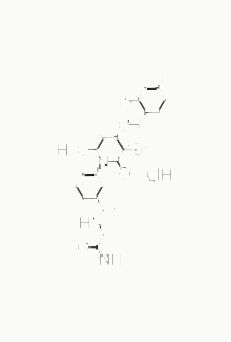 Cc1cc(OCc2ccc(F)cc2F)c(Br)c(=O)n1-c1cccc(CNCC(N)=O)c1.Cl